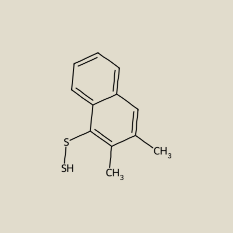 Cc1cc2ccccc2c(SS)c1C